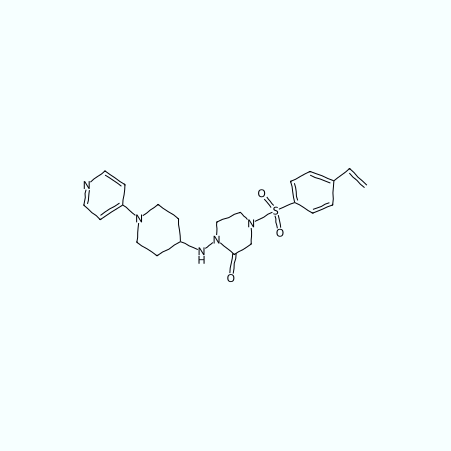 C=Cc1ccc(S(=O)(=O)N2CCN(NC3CCN(c4ccncc4)CC3)C(=O)C2)cc1